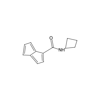 O=C(NC1CCC1)C1=CC=C2C=CC=C21